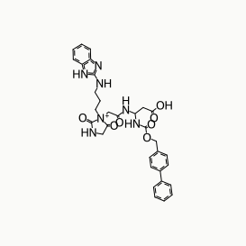 O=C(O)CC(NC(=O)C[N+]1(CCCNc2nc3ccccc3[nH]2)C(=O)CNC1=O)NC(=O)OCc1ccc(-c2ccccc2)cc1